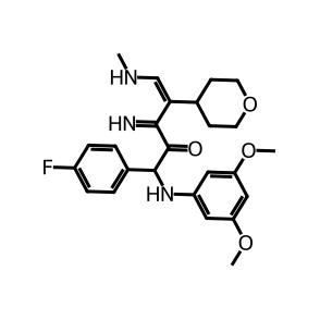 CN/C=C(\C(=N)C(=O)C(Nc1cc(OC)cc(OC)c1)c1ccc(F)cc1)C1CCOCC1